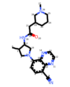 CC1CN(c2ccc(C#N)c3nccnc23)CC1NC(=O)CC1CCCN(C)C1